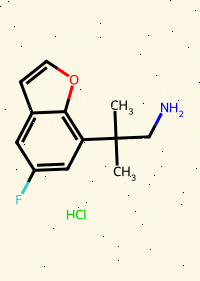 CC(C)(CN)c1cc(F)cc2ccoc12.Cl